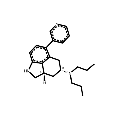 CCCN(CCC)[C@H]1Cc2c(-c3cccnc3)ccc3c2[C@@H](CN3)C1